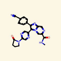 CNC(=O)c1cn2c(-c3cnc(N4CCCC4=O)cn3)c(-c3ccc(C#N)cc3)nc2cn1